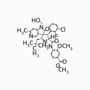 COC(=O)c1ccc(N2CN3[C@@H](CC(C)(C)C)C4(C(=O)N(CO)c5cc(C)ncc54)[C@@H](c4cccc(Cl)c4F)[C@@H]3C2=O)c(OC)c1